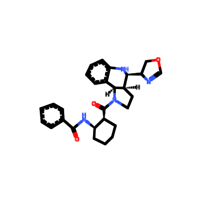 O=C(N[C@@H]1CCCC[C@@H]1C(=O)N1CC[C@@H]2[C@H](C3COC=N3)Nc3ccccc3[C@@H]21)c1ccccc1